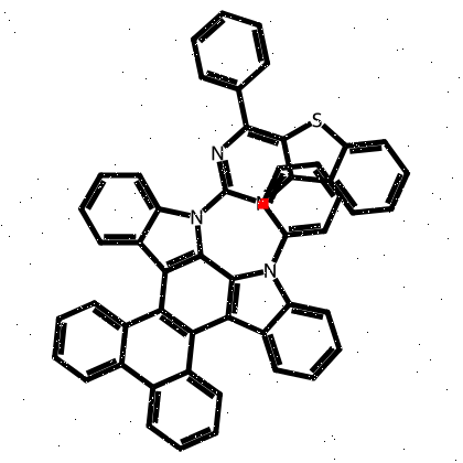 c1ccc(-c2nc(-n3c4ccccc4c4c5c6ccccc6c6ccccc6c5c5c6ccccc6n(-c6ccccc6)c5c43)nc3c2sc2ccccc23)cc1